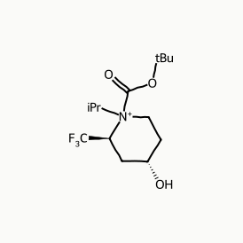 CC(C)[N+]1(C(=O)OC(C)(C)C)CC[C@H](O)C[C@H]1C(F)(F)F